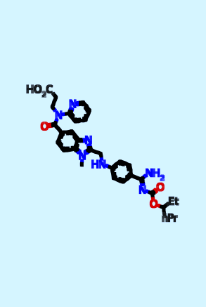 CCCC(CC)OC(=O)/N=C(\N)c1ccc(NCc2nc3cc(C(=O)N(CCC(=O)O)c4ccccn4)ccc3n2C)cc1